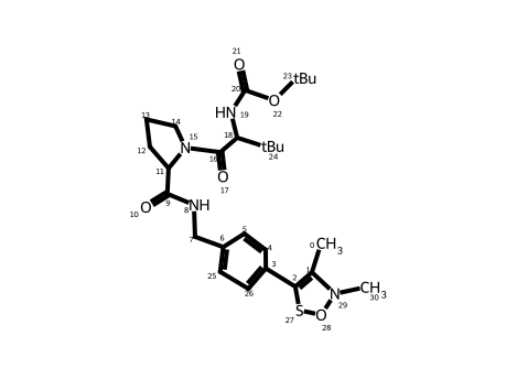 CC1=C(c2ccc(CNC(=O)C3CCCN3C(=O)C(NC(=O)OC(C)(C)C)C(C)(C)C)cc2)SON1C